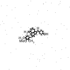 COc1c(C)cnc(CN2N=C3CC(N[C@H]4CC[C@H](O)CC4)C4=C3C(=N2)C(N)=NSC4)c1C